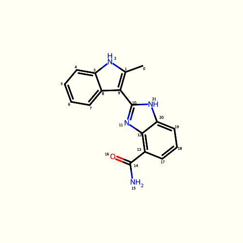 Cc1[nH]c2ccccc2c1-c1nc2c(C(N)=O)cccc2[nH]1